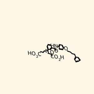 O=C(O)CCCN1CC(C(=O)O)Oc2c(C(=O)Nc3ccc(OCCCCc4ccccc4)cc3)cccc21